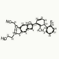 CC1=C(c2cc3cc(CNCCO)c(OCC#N)cc3o2)C=CCC1c1ccccc1F